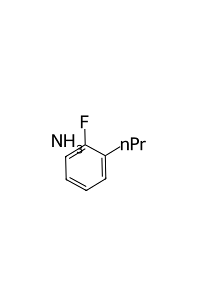 CCCc1ccccc1F.N